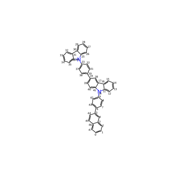 c1ccc2cc(-c3ccc(-n4c5ccccc5c5cc(-c6ccc(-n7c8ccccc8c8ccccc87)cc6)ccc54)cc3)ccc2c1